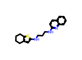 c1ccc2nc(NCCCNc3cc4c(s3)CCCC4)ccc2c1